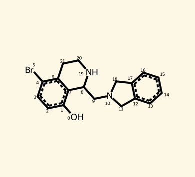 Oc1ccc(Br)c2c1C(CN1Cc3ccccc3C1)NCC2